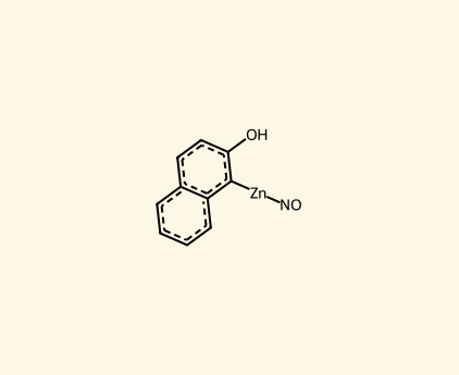 O=[N][Zn][c]1c(O)ccc2ccccc12